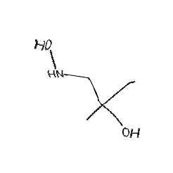 CC(C)(O)CNO